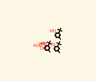 Cc1ccc(O)c(C(C)(C)C)c1.Cc1ccc(O)c(C(C)(C)C)c1.Cc1ccc(O)c(C(C)(C)C)c1.OP(O)O